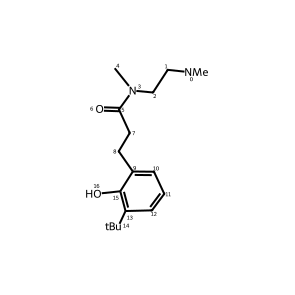 CNCCN(C)C(=O)CCc1cccc(C(C)(C)C)c1O